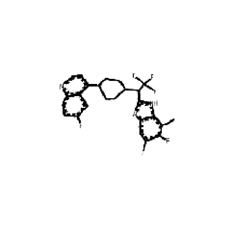 Cc1c(F)c(F)cc2nc(C(C3CCC(c4ccnc5ccc(F)cc45)CC3)C(F)(F)F)[nH]c12